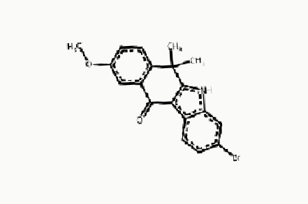 COc1ccc2c(c1)C(=O)c1c([nH]c3cc(Br)ccc13)C2(C)C